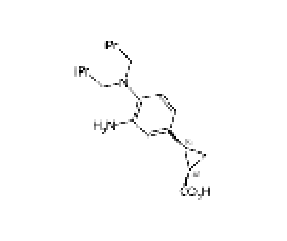 CC(C)CN(CC(C)C)c1ccc([C@H]2C[C@H]2C(=O)O)cc1N